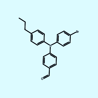 CCCc1ccc(N(c2ccc(Br)cc2)c2ccc(C=O)cc2)cc1